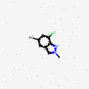 CC(C)c1cc(Cl)c2nn(C)cc2c1